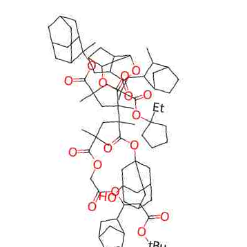 CCC1(OC(=O)C(C)(CC2C3CCC(C3)C2C)CC(C)(CC(C)(C(=O)OC2C3CC4C(=O)OC2C4C3)C(C)(CC(C)(C)C(=O)OCC(=O)OC(CC(=O)OC(C)(C)C)C2CC3C=CC2C3)C(=O)OC23CC4CC(CC(O)(C4)C2)C3)C(=O)OC2(C)C3CC4CC(C3)CC2C4)CCCC1